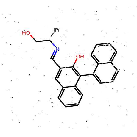 CC(C)[C@@H](CO)/N=C/c1cc2ccccc2c(-c2cccc3ccccc23)c1O